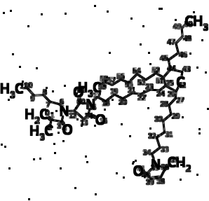 C=C(C)C(=O)N(CCCCCC)C1CC(=O)N(CCCCCCCCC2C(CCCCCCCCN3C(=C)C=CC3=O)CCC(CCCCCC)C2CCCCCCCC)C1=O